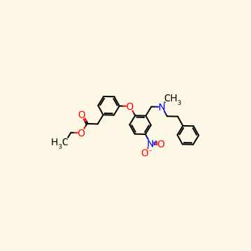 CCOC(=O)Cc1cccc(Oc2ccc([N+](=O)[O-])cc2CN(C)CCc2ccccc2)c1